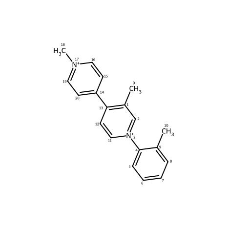 Cc1c[n+](-c2ccccc2C)ccc1-c1cc[n+](C)cc1